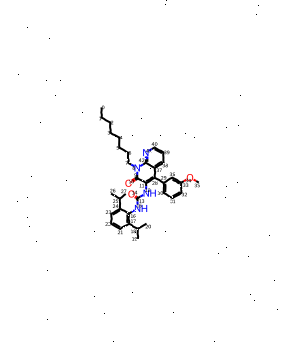 CCCCCCCCn1c(=O)c(NC(=O)Nc2c(C(C)C)cccc2C(C)C)c(-c2cccc(OC)c2)c2cccnc21